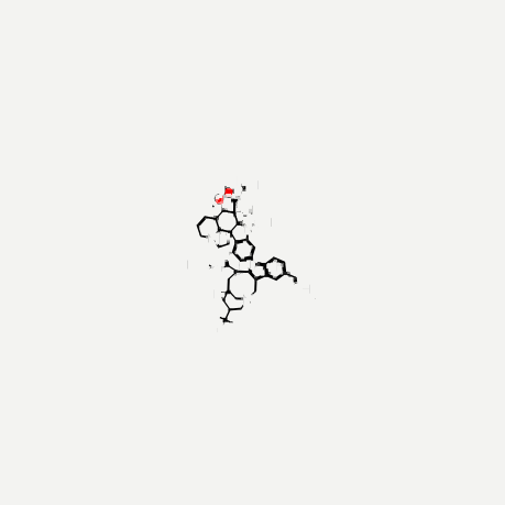 C=Cc1ccc2[nH]c3c(c2c1)CN1CC(C(C)(F)F)C[C@@H](C1)C[C@]3(C(=O)OC)c1cc2c(cc1OC)N(C)[C@H]1[C@@](O)(C(=O)OC)[C@H](OC(C)=O)[C@]3(CC)C=CCN4CC[C@]21[C@@H]43